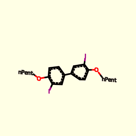 CCCCCOc1ccc(-c2ccc(OCCCCC)c(I)c2)cc1I